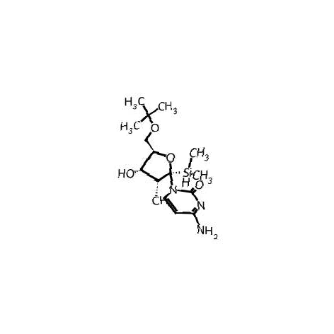 C[C@@H]1[C@H](O)[C@@H](COC(C)(C)C)O[C@]1(n1ccc(N)nc1=O)[SiH](C)C